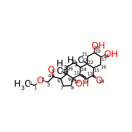 CCOCC(=O)C1CC[C@@]2(O)C3=CC(=O)C4CC(O)C(O)CC4(C)C3CCC12C